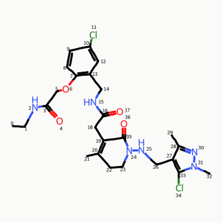 CCNC(=O)COc1ccc(Cl)cc1CNC(=O)CC1=C(C)CCN(NCc2c(C)nn(C)c2Cl)C1=O